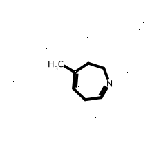 CC1=CCC=NCC1